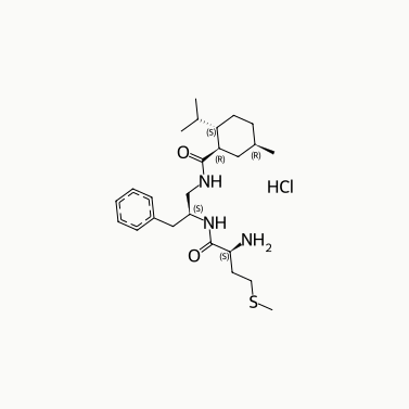 CSCC[C@H](N)C(=O)N[C@H](CNC(=O)[C@@H]1C[C@H](C)CC[C@H]1C(C)C)Cc1ccccc1.Cl